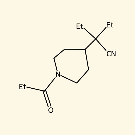 CCC(=O)N1CCC(C(C#N)(CC)CC)CC1